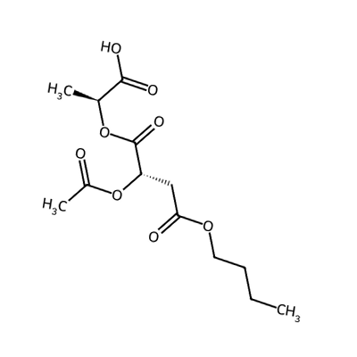 CCCCOC(=O)C[C@H](OC(C)=O)C(=O)O[C@@H](C)C(=O)O